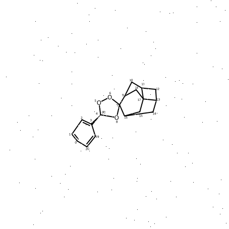 c1ccc([C@H]2OOC3(O2)C2CC4CC5CC3CC45C2)cc1